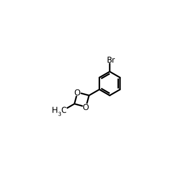 CC1OC(c2cccc(Br)c2)O1